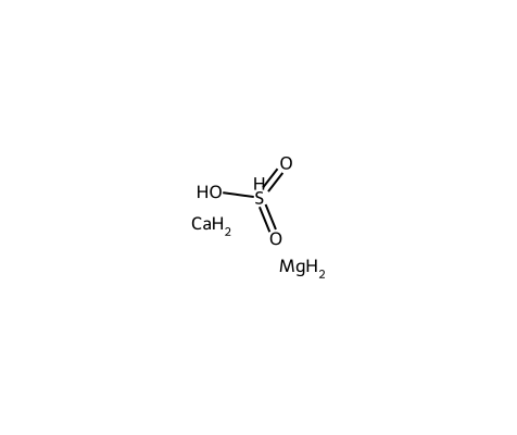 O=[SH](=O)O.[CaH2].[MgH2]